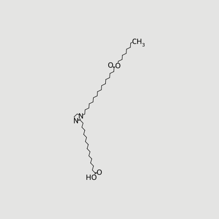 CCCCCCCCOC(=O)CCCCCCCCCCCCCCCN1CCN=C1CCCCCCCCCCCCCCC(=O)O